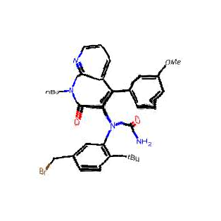 CCCCn1c(=O)c(N(C(N)=O)c2cc(CBr)ccc2C(C)(C)C)c(-c2cccc(OC)c2)c2cccnc21